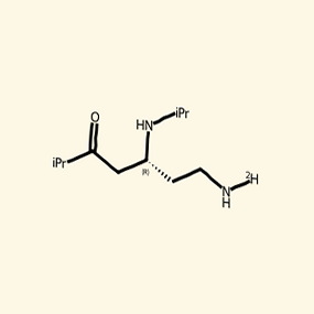 [2H]NCC[C@H](CC(=O)C(C)C)NC(C)C